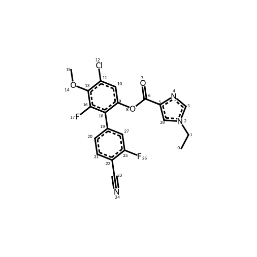 CCn1cnc(C(=O)Oc2cc(Cl)c(OC)c(F)c2-c2ccc(C#N)c(F)c2)c1